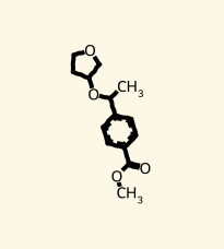 COC(=O)c1ccc(C(C)OC2CCOC2)cc1